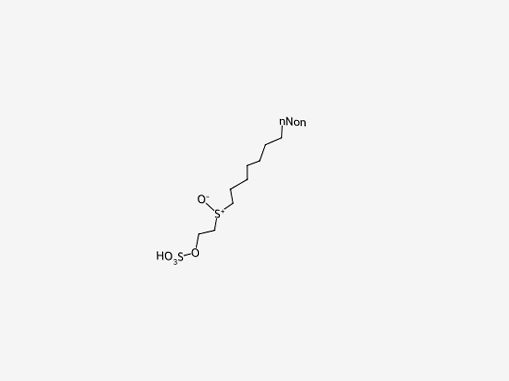 CCCCCCCCCCCCCCCC[S+]([O-])CCOS(=O)(=O)O